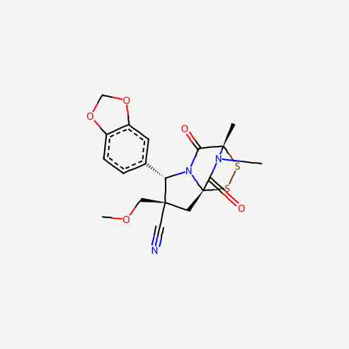 COC[C@]1(C#N)C[C@@]23SS[C@@](C)(C(=O)N2[C@H]1c1ccc2c(c1)OCO2)N(C)C3=O